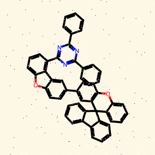 c1ccc(-c2nc(-c3ccccc3)nc(-c3cccc4oc5ccc(-c6ccc7c(c6)C6(c8ccccc8O7)c7ccccc7-c7ccccc76)cc5c34)n2)cc1